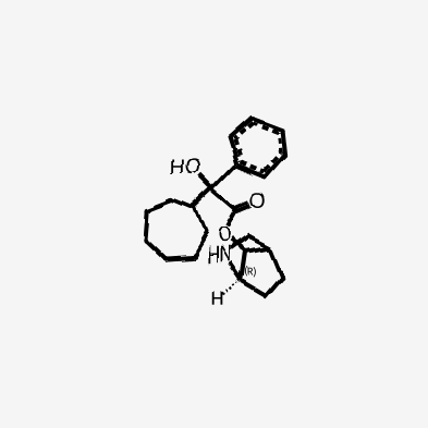 O=C(OC1C2CC[C@H]1NC2)C(O)(c1ccccc1)C1CCCCCC1